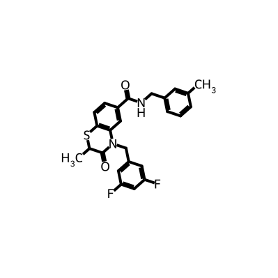 Cc1cccc(CNC(=O)c2ccc3c(c2)N(Cc2cc(F)cc(F)c2)C(=O)C(C)S3)c1